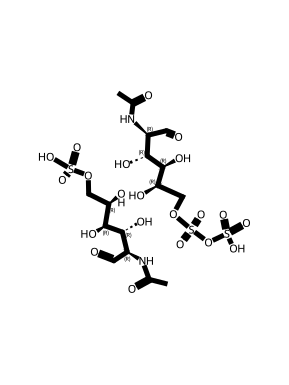 CC(=O)N[C@@H](C=O)[C@@H](O)[C@@H](O)[C@H](O)COS(=O)(=O)O.CC(=O)N[C@@H](C=O)[C@@H](O)[C@@H](O)[C@H](O)COS(=O)(=O)OS(=O)(=O)O